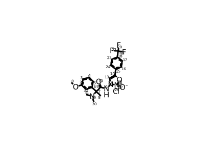 COc1cccc(C(C)(C(=O)NN2C=C(c3ccc(C(F)(F)F)cc3)O[N+]2([O-])Cl)N(C)C)c1